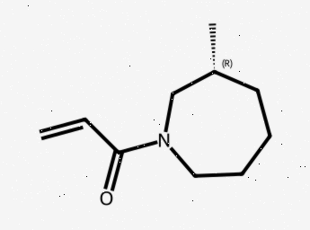 C=CC(=O)N1CCCC[C@@H](C)C1